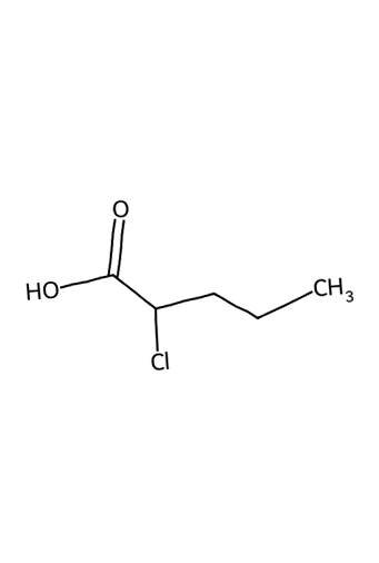 CCCC(Cl)C(=O)O